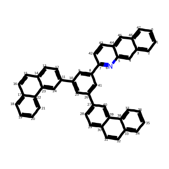 c1ccc2cc3nc(-c4cc(-c5ccc6ccc7ccccc7c6c5)cc(-c5ccc6ccc7ccccc7c6c5)c4)ccc3cc2c1